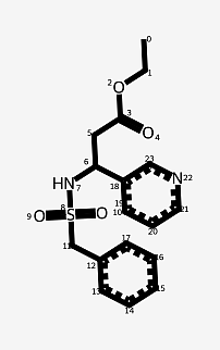 CCOC(=O)CC(NS(=O)(=O)Cc1ccccc1)c1cccnc1